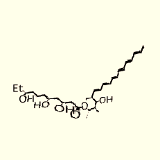 C/C=C/C=C/C=C/C=C/C=C/C=C/[C@H](C)[C@@H](O)[C@@H](C)[C@H](C)OC(=O)C[C@H](O)C[C@H](O)CCC[C@H](O)CC